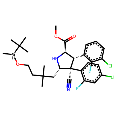 COC(=O)[C@@H]1N[C@@H](CC(C)(C)CCO[SiH](C)C(C)(C)C)[C@](C#N)(c2ccc(Cl)cc2F)[C@H]1c1cccc(Cl)c1F